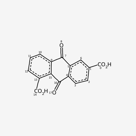 O=C(O)c1ccc2c(c1)C(=O)c1cccc(C(=O)O)c1C2=O